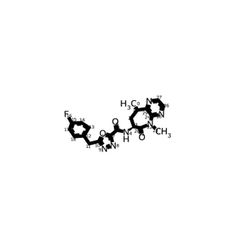 CC1C[C@H](NC(=O)c2nnc(Cc3ccc(F)cc3)o2)C(=O)N(C)c2nccnc21